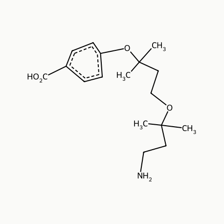 CC(C)(CCN)OCCC(C)(C)Oc1ccc(C(=O)O)cc1